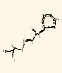 O=C(C=NOC(F)(F)F)Nc1ccccc1